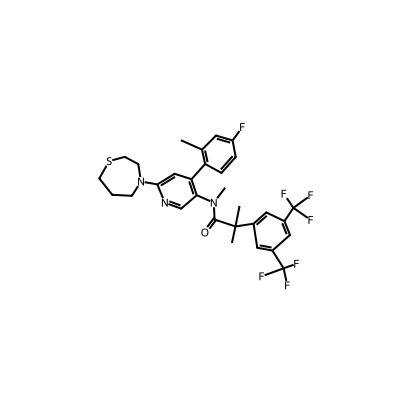 Cc1cc(F)ccc1-c1cc(N2CCCSCC2)ncc1N(C)C(=O)C(C)(C)c1cc(C(F)(F)F)cc(C(F)(F)F)c1